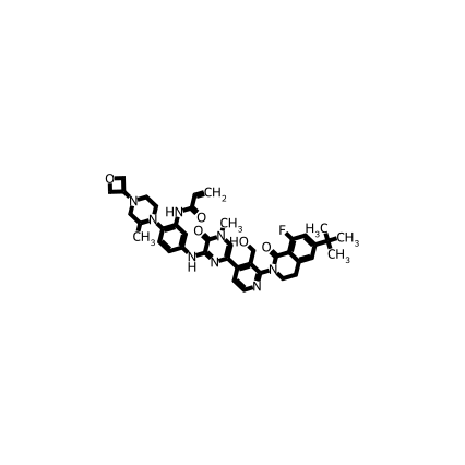 C=CC(=O)Nc1cc(Nc2nc(-c3ccnc(N4CCc5cc(C(C)(C)C)cc(F)c5C4=O)c3CO)cn(C)c2=O)ccc1N1CCN(C2COC2)CC1C